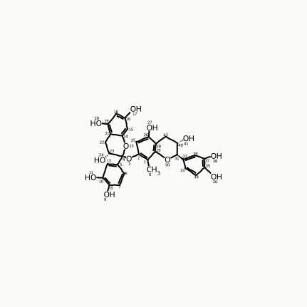 Cc1c(O[C@]2(c3ccc(O)c(O)c3)Oc3cc(O)cc(O)c3C[C@H]2O)cc(O)c2c1O[C@H](c1ccc(O)c(O)c1)[C@@H](O)C2